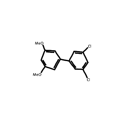 COc1cc(OC)cc(-c2cc(Cl)[c]c(Cl)c2)c1